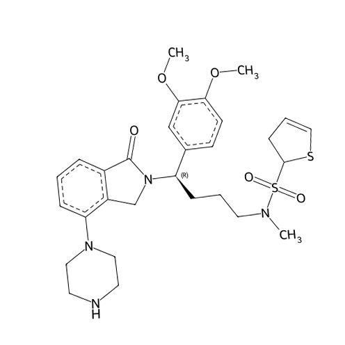 COc1ccc([C@@H](CCCN(C)S(=O)(=O)C2CC=CS2)N2Cc3c(cccc3N3CCNCC3)C2=O)cc1OC